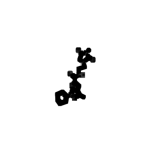 Cc1nn(-c2ccccc2)c2sc(C(=O)NCCN3CC(=O)N(C)C3=O)cc12